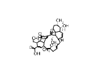 CC[C@@H]1C(C(=O)O)=C[C@]2(C)/C=C(\C)C/C=C/C[C@@H]3C=C[C@@H]4[C@@H](O)[C@@H](C)CC[C@H]4[C@]3(CC)C(=O)C3=C(O)C2C1C3=O